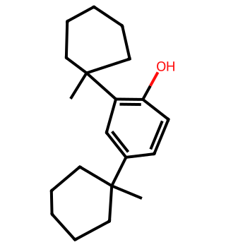 CC1(c2ccc(O)c(C3(C)CCCCC3)c2)CCCCC1